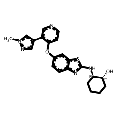 Cn1cc(-c2cnccc2Oc2ccc3nc(N[C@@H]4CCCC[C@H]4O)sc3c2)cn1